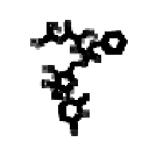 CC(C)OC(=O)[C@@H](C)N[P@@](=O)(OC[C@H]1O[C@@H](n2ccc(=O)[nH]c2=O)[C@](C)(Cl)[C@@H]1O)Sc1ccccc1